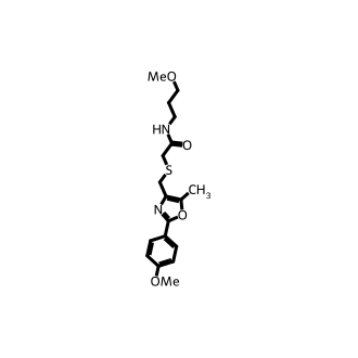 COCCCNC(=O)CSCc1nc(-c2ccc(OC)cc2)oc1C